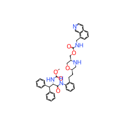 COC(=O)N[C@H](C(=O)Nc1ccccc1CC[C@@H]1CN[C@H](COC(=O)NCc2cccc3ccncc23)CO1)C(c1ccccc1)c1ccccc1